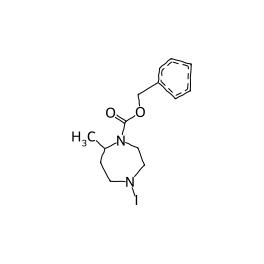 CC1CCN(I)CCN1C(=O)OCc1ccccc1